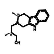 C[C@@H](CO)CN1Cc2[nH]c3ccccc3c2C[C@H]1C